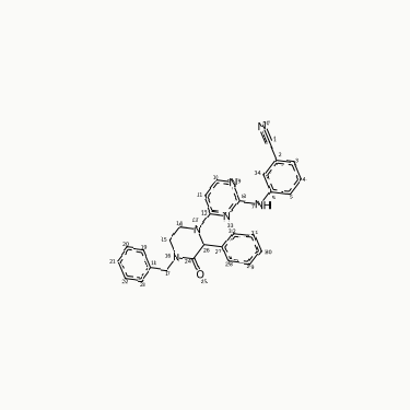 N#Cc1cccc(Nc2nccc(N3CCN(Cc4ccccc4)C(=O)C3c3ccccc3)n2)c1